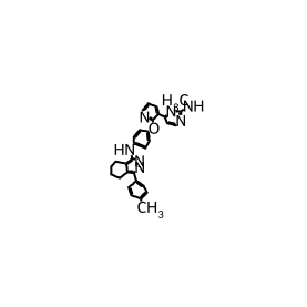 CNc1nccc(-c2cccnc2Oc2ccc(Nc3nnc(-c4ccc(C)cc4)c4c3CCCC4)cc2)n1